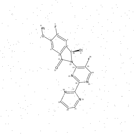 CC[C@@H]1c2cc(F)c(OC(C)C)cc2C(=O)N1c1nc(-c2ncccn2)ncc1F